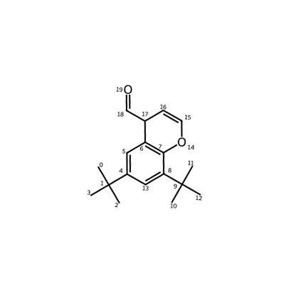 CC(C)(C)c1cc2c(c(C(C)(C)C)c1)OC=CC2C=O